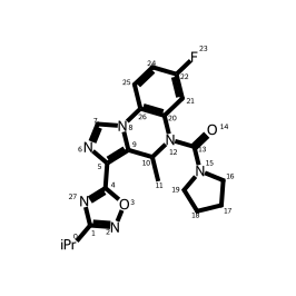 CC(C)c1noc(-c2ncn3c2C(C)N(C(=O)N2CCCC2)c2cc(F)ccc2-3)n1